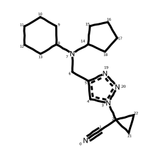 N#CC1(n2cc(CN(C3CCCCC3)C3CCCC3)nn2)CC1